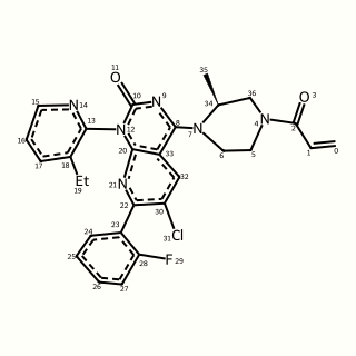 C=CC(=O)N1CCN(c2nc(=O)n(-c3ncccc3CC)c3nc(-c4ccccc4F)c(Cl)cc23)[C@@H](C)C1